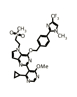 COc1ncnc(C2CC2)c1-c1nc(OCc2ccc(-c3nc(C(F)(F)F)cn3C)cc2)c2c(ccn2CCS(C)(=O)=O)n1